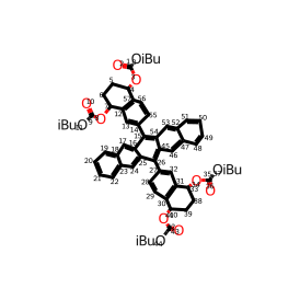 CC(C)COC(=O)OC1CCC(OC(=O)OCC(C)C)c2cc(-c3c4cc5ccccc5cc4c(-c4ccc5c(c4)C(OC(=O)OCC(C)C)CCC5OC(=O)OCC(C)C)c4cc5ccccc5cc34)ccc21